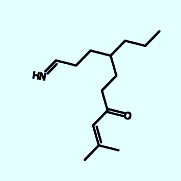 CCCC(CCC=N)CCC(=O)C=C(C)C